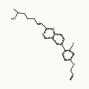 C=CCOc1ccc(-c2ccc3nc(/C=C/CCCC(C)O)ncc3c2)c(F)c1